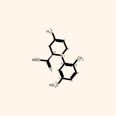 COC(=O)[C@H]1CC(C)=CCN1c1cc(S(=O)(=O)O)ccc1C